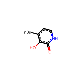 CCCCc1cc[nH]c(=O)c1O